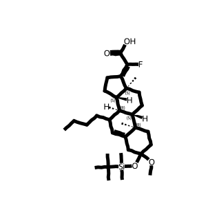 CCCCC1C=C2CC(OC)(O[Si](C)(C)C(C)(C)C)CC[C@]2(C)[C@H]2CC[C@]3(C)C(=C(F)C(=O)O)CC[C@H]3[C@H]12